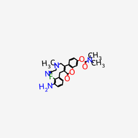 CN(CC#N)Cc1c(Cc2cccc(N)c2F)c(=O)oc2cc(OC(=O)N(C)C)ccc12